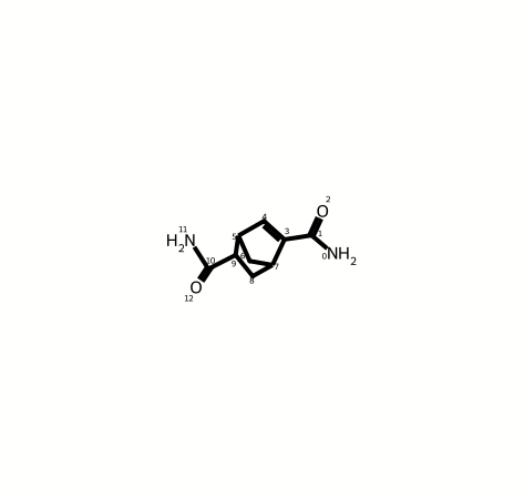 NC(=O)C1=CC2CC1CC2C(N)=O